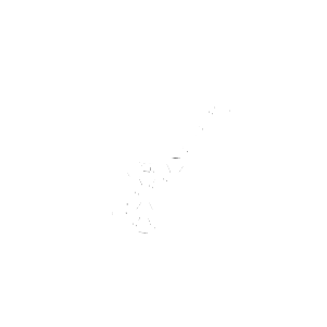 C=Cc1cnc(Nc2ccc(N3CCC(N4CCN(C)CC4)CC3)cc2OC)nc1Nc1ccc2nccnc2c1S(C)(=O)=O